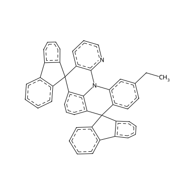 CCc1ccc2c(c1)N1c3ncccc3C3(c4ccccc4-c4ccccc43)c3cccc(c31)C21c2ccccc2-c2ccccc21